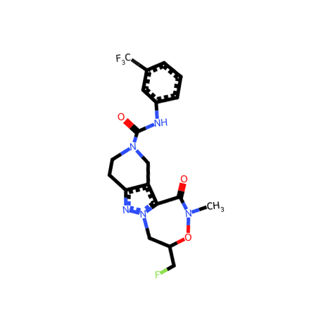 CN1OC(CF)Cn2nc3c(c2C1=O)CN(C(=O)Nc1cccc(C(F)(F)F)c1)CC3